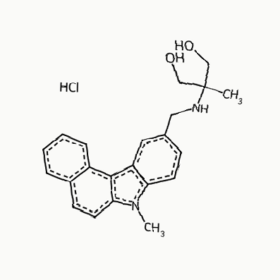 Cl.Cn1c2ccc(CNC(C)(CO)CO)cc2c2c3ccccc3ccc21